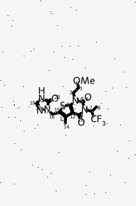 COCCn1c(=O)n(C(C)C(F)(F)F)c(=O)c2c(C)c(Cn3nc[nH]c3=O)sc21